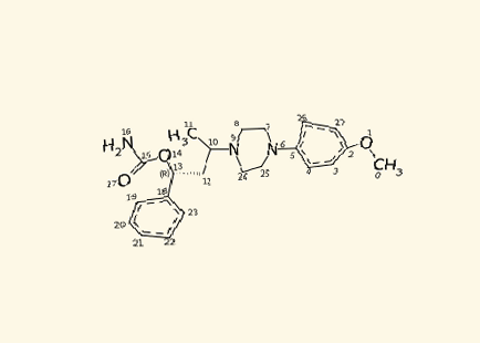 COc1ccc(N2CCN(C(C)C[C@@H](OC(N)=O)c3ccccc3)CC2)cc1